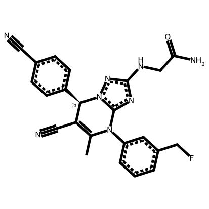 CC1=C(C#N)[C@@H](c2ccc(C#N)cc2)n2nc(NCC(N)=O)nc2N1c1cccc(CF)c1